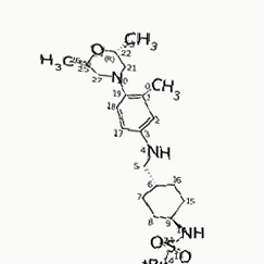 Cc1cc(NC[C@H]2CC[C@H](NS(=O)(=O)C(C)(C)C)CC2)ccc1N1C[C@@H](C)O[C@@H](C)C1